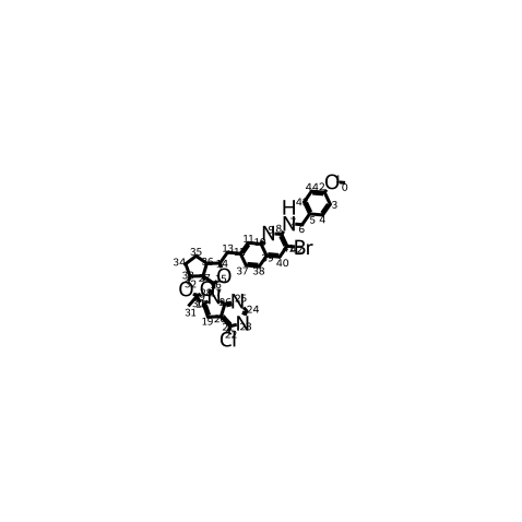 COc1ccc(CNc2nc3cc(CC4OC(n5ccc6c(Cl)ncnc65)C56OC(C)(C)OC5CCC46)ccc3cc2Br)cc1